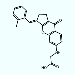 Cc1ccccc1C=C1CCc2c1oc1cc(NCC(=O)O)ccc1c2=O